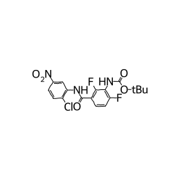 CC(C)(C)OC(=O)Nc1c(F)ccc(C(=O)Nc2cc([N+](=O)[O-])ccc2Cl)c1F